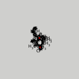 COC[C@@H]1NC(=O)[C@H](CCC(=O)N2CCC2)N(Cc2ccc(Cl)cc2Oc2ccc(-c3cnc(CN4CCCC4)n3C)cc2)C(=O)C[C@@H]([C@H]2CC(C)(C)c3ccccc32)C(=O)N(C)C[C@@H](Cc2ccc(Cl)cc2)N(C)C1=O.Cl